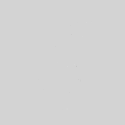 COc1cc2ncnc(Oc3ccc(CP(=O)(O)O)cc3)c2cc1OC